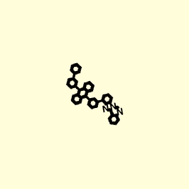 c1ccc(-c2cccc(-c3c4ccccc4c(-c4cccc(-c5cccc6c5nc5c7ccccc7ncn65)c4)c4ccccc34)c2)cc1